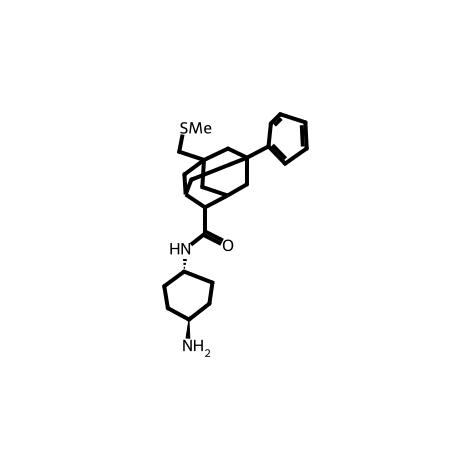 CSCC12CC3CC(c4ccccc4)(CC(C1)C3C(=O)N[C@H]1CC[C@H](N)CC1)C2